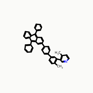 Cc1ccncc1-c1cc(-c2ccc(-c3ccc4c(-c5ccccc5)c5ccccc5c(-c5ccccc5)c4c3)cc2)ccc1C